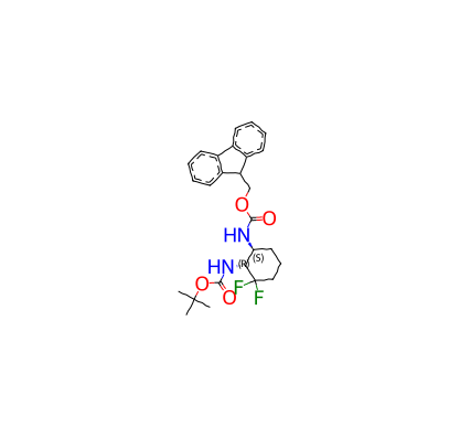 CC(C)(C)OC(=O)N[C@@H]1[C@@H](NC(=O)OCC2c3ccccc3-c3ccccc32)CCCC1(F)F